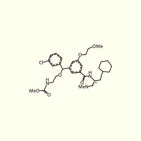 CNC[C@H](CC1CCCCC1)NC(=O)c1cc(OCCOC)cc(C(OCCNC(=O)OC)c2cccc(Cl)c2)c1